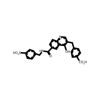 O=C(O)c1ccc(Cc2cnc3ccc(C(=O)NCc4ccc(S(=O)(=O)O)cc4)cc3c2O)cc1